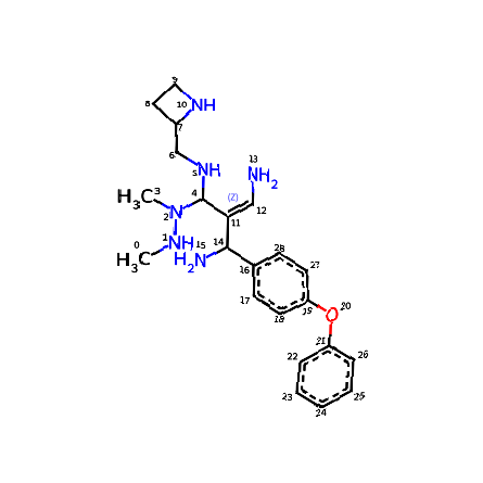 CNN(C)C(NCC1CCN1)/C(=C\N)C(N)c1ccc(Oc2ccccc2)cc1